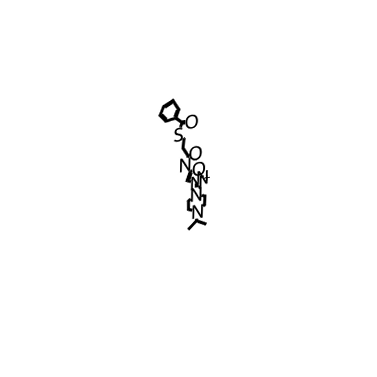 CC(C)N1CCN([n+]2cc([N-]C(=O)CCSC(=O)c3ccccc3)on2)CC1